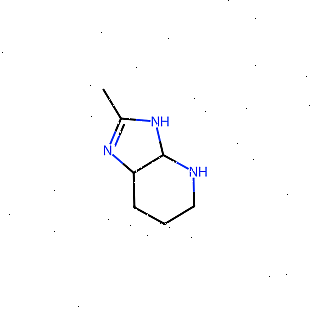 CC1=NC2CCCNC2N1